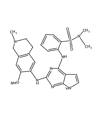 COc1cc2c(cc1Nc1nc(Nc3ccccc3S(=O)(=O)N(C)C)c3cc[nH]c3n1)CCN(C)C2